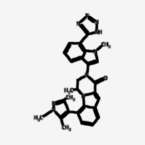 Cc1nn(C)c(C)c1-c1cccc2cc3n(c12)C(C)CN(c1cn(C)c2c(-c4nnn[nH]4)cccc12)C3=O